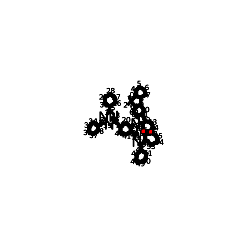 CC1(C)c2ccccc2-c2cc3c4ccccc4n(-c4cc(-c5nc(-c6ccccc6)nc(-c6ccccc6)n5)ccc4-c4nc(-c5ccccc5)c5ccccc5n4)c3cc21